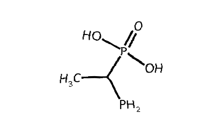 CC(P)P(=O)(O)O